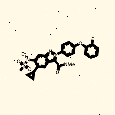 CCN(c1cc2nn(-c3ccc(Oc4ccccc4F)cc3)c(C(=O)NC)c2cc1C1CC1)S(C)(=O)=O